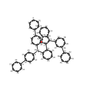 c1ccc(-c2ccc(N(c3ccc(-c4ccccc4)cc3)c3ccccc3-c3oc4ccccc4c3-c3cccc(-c4ccccc4)c3)cc2)cc1